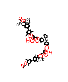 CCCC(CC)(OCC1CO1)c1c(C)cc(-c2cc(C)c(OCC(O)COc3ccc(C(C)(c4ccccc4)c4ccc(OCC(O)COC(C)(CC)c5c(C)cc(-c6cc(C)c(OCC7CO7)c(C)c6)cc5C)cc4)cc3)c(C)c2)cc1C